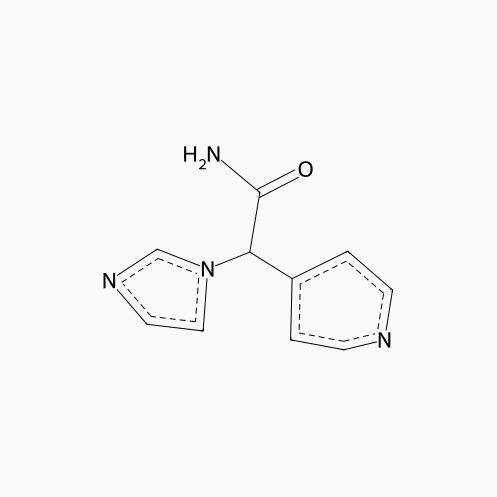 NC(=O)C(c1ccncc1)n1ccnc1